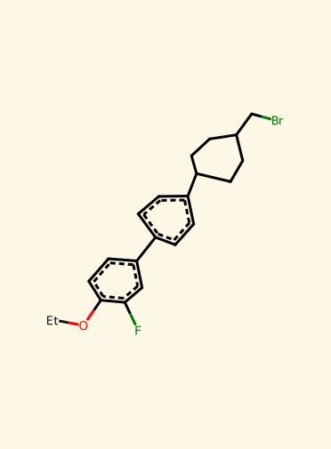 CCOc1ccc(-c2ccc(C3CCC(CBr)CC3)cc2)cc1F